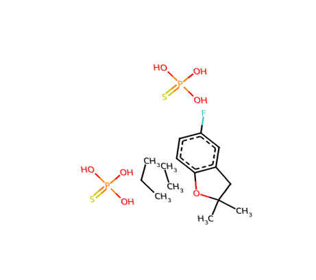 CC.CC1(C)Cc2cc(F)ccc2O1.CCC.OP(O)(O)=S.OP(O)(O)=S